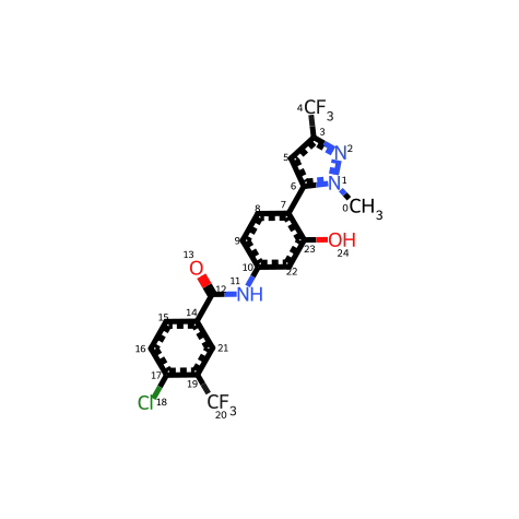 Cn1nc(C(F)(F)F)cc1-c1ccc(NC(=O)c2ccc(Cl)c(C(F)(F)F)c2)cc1O